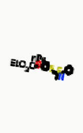 CCCc1cc(SCc2sc(-c3ccccc3)nc2C)ccc1OCC(=O)OCC